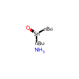 CCC[CH2][Sn](=[O])[CH2]CCC.N